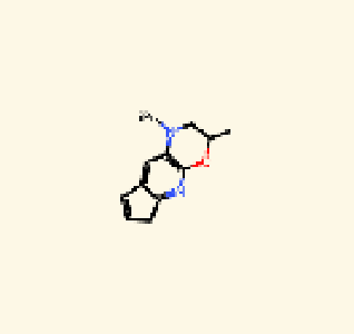 CC1CN(C(C)C)c2cc3c(nc2O1)CC=C3